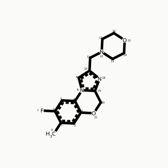 Cc1cc2c(cc1F)-n1cc(CN3CCOCC3)nc1CO2